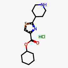 Cl.O=C(OC1CCCCC1)c1csc(C2CCNCC2)n1